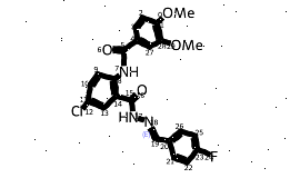 COc1ccc(C(=O)Nc2ccc(Cl)cc2C(=O)N/N=C/c2ccc(F)cc2)cc1OC